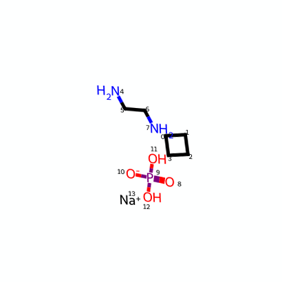 C1CCC1.NCCN.O=P([O-])(O)O.[Na+]